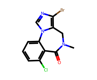 CN1Cc2c(Br)ncn2-c2cccc(Cl)c2C1=O